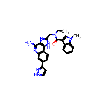 CCN(Cc1nc2c(N)nc3cc(-c4cc[nH]n4)ccc3c2[nH]1)C(=O)c1cn(C)c2ccccc12